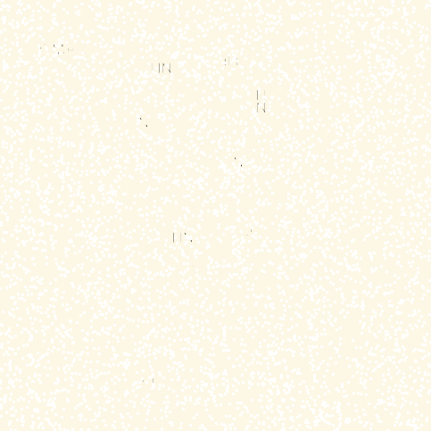 COCC1CCN(c2cc(C(=O)NSCCCCl)nc(Nc3ccc(F)cc3)c2C(=N)C(C)C)CC1